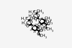 COC(=O)C1=CCN(C(=O)OC(C)(C)C)CC1(C)C.COC(=O)C1CCN(C(=O)OC(C)(C)C)CC1(C)C